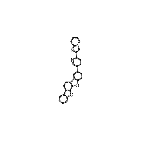 c1ccc2c(c1)oc1c2ccc2c3cc(-c4ccc(-c5cn6ccccc6n5)nc4)ccc3oc21